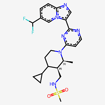 C[C@H]1[C@@H](CNS(C)(=O)=O)C(C2CC2)CCN1c1ccnc(-c2cnc3ccc(C(F)F)cn23)n1